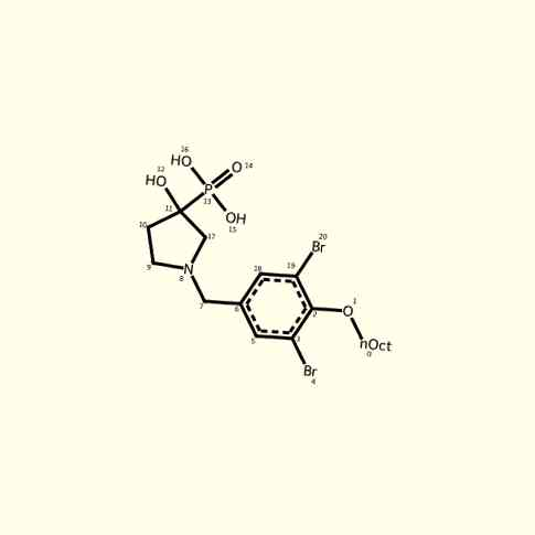 CCCCCCCCOc1c(Br)cc(CN2CCC(O)(P(=O)(O)O)C2)cc1Br